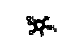 COc1cc(Br)c(N)c(F)c1Cl